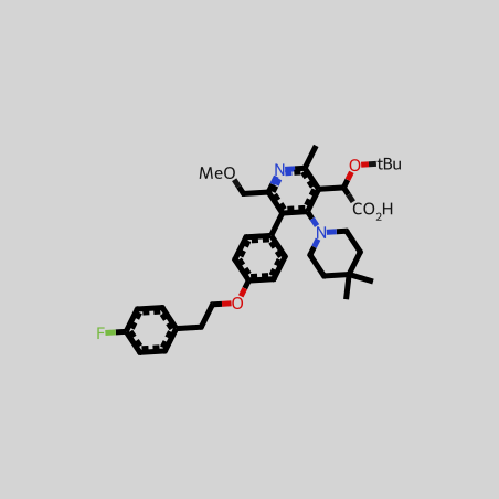 COCc1nc(C)c(C(OC(C)(C)C)C(=O)O)c(N2CCC(C)(C)CC2)c1-c1ccc(OCCc2ccc(F)cc2)cc1